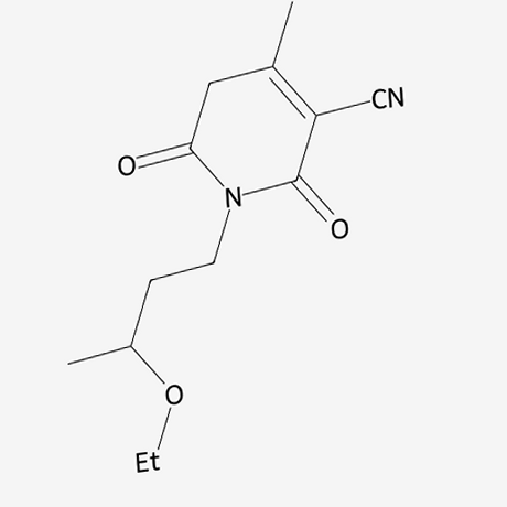 CCOC(C)CCN1C(=O)CC(C)=C(C#N)C1=O